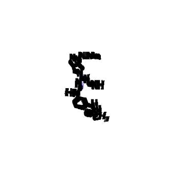 CNN1N=CC2CN(C(=N/C=N)/N=C/Nc3cccc(C[SH](C)(=O)I)c3)CC21